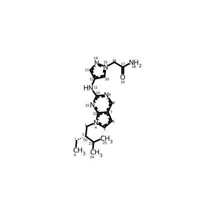 CC[C@H](Cn1ccc2cnc(Nc3cnn(CC(N)=O)c3)nc21)C(C)C